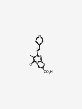 Cc1c(/C=C/c2ccncc2)nc2sc(C(=O)O)cn2c1=O